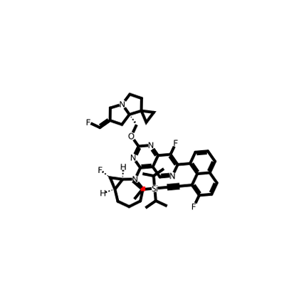 CC(C)[Si](C#Cc1c(F)ccc2cccc(-c3ncc4c(N5CCCC[C@H]6[C@H](F)[C@H]65)nc(OC[C@]56C/C(=C/F)CN5CCC65CC5)nc4c3F)c12)(C(C)C)C(C)C